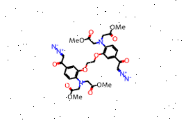 COC(=O)CN(CC(=O)OC)c1ccc(C(=O)C=[N+]=[N-])cc1OCCOc1cc(C(=O)C=[N+]=[N-])ccc1N(CC(=O)OC)CC(=O)OC